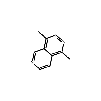 Cc1nnc(C)c2cnccc12